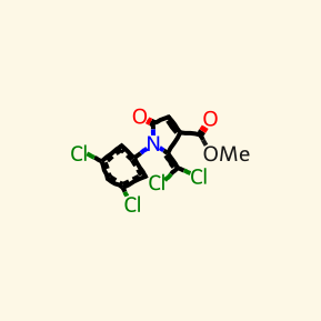 COC(=O)C1=CC(=O)N(c2cc(Cl)cc(Cl)c2)C1=C(Cl)Cl